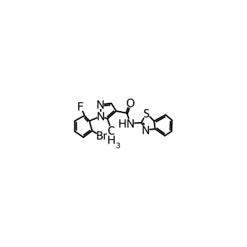 Cc1c(C(=O)Nc2nc3ccccc3s2)cnn1-c1c(F)cccc1Br